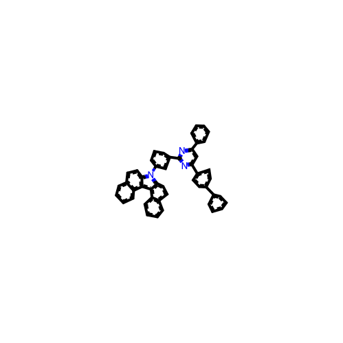 c1ccc(-c2ccc(-c3cc(-c4ccccc4)nc(-c4cccc(-n5c6ccc7ccccc7c6c6c7ccccc7ccc65)c4)n3)cc2)cc1